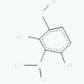 COc1ccc(C)c(B(O)O)c1C